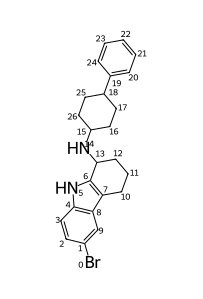 Brc1ccc2[nH]c3c(c2c1)CCCC3NC1CCC(c2ccccc2)CC1